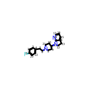 Fc1ccc(CCN2CCC(N3CCc4cccnc43)CC2)cc1